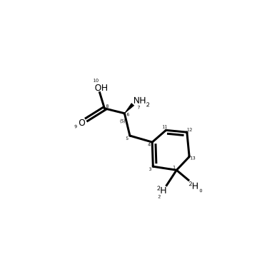 [2H]C1([2H])C=C(C[C@H](N)C(=O)O)C=CC1